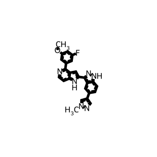 COc1cc(F)cc(-c2nccc3[nH]c(-c4n[nH]c5ccc(-c6cnn(C)c6)cc45)cc23)c1